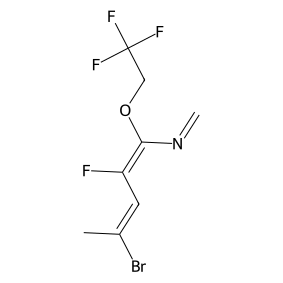 C=N/C(OCC(F)(F)F)=C(F)\C=C(/C)Br